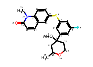 COC1(c2cc(F)cc(Sc3ccc4c(ccc(=O)n4C)c3)c2)CCOC(C)C1